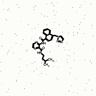 CC(C)CCNC(=O)c1nccnc1NC(=O)c1ccc(Cn2ccnn2)c2ccccc12